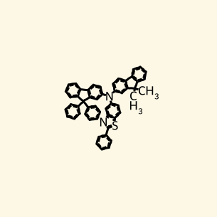 CC1(C)c2ccccc2-c2ccc(N(c3ccc4c(c3)C(c3ccccc3)(c3ccccc3)c3ccccc3-4)c3ccc4sc(-c5ccccc5)nc4c3)cc21